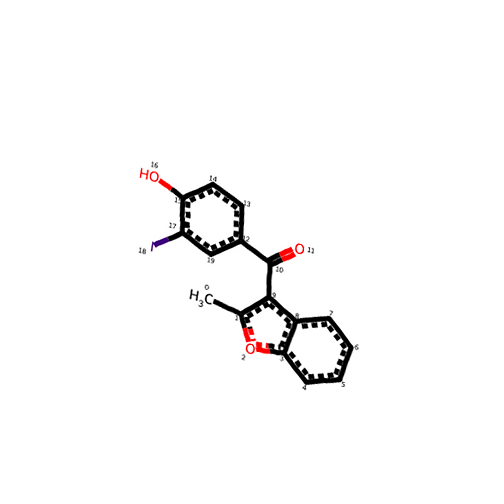 Cc1oc2ccccc2c1C(=O)c1ccc(O)c(I)c1